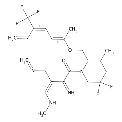 C=C/C(=C\C=C(/C)OCC1C(C)CC(F)(F)CN1C(=O)C(=N)/C(=C\NC)CN=C)C(F)(F)F